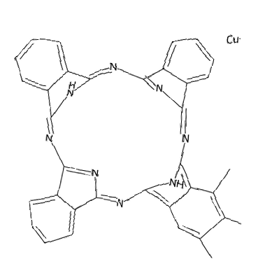 Cc1cc2c3nc4nc(nc5[nH]c(nc6nc(nc([nH]3)c2c(C)c1C)-c1ccccc1-6)c1ccccc51)-c1ccccc1-4.[Cu]